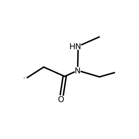 [CH2]CC(=O)N(CC)NC